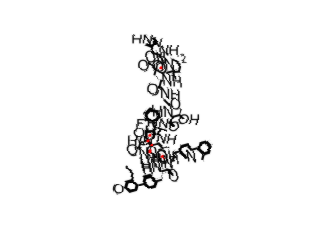 CCc1cc(OC)ccc1-c1ccc(C[C@H](NC(=O)[C@H](CC(=O)O)NC(=O)[C@H](CO)NC(=O)[C@@H](NC(=O)C(C)(Cc2ccccc2F)NC(=O)[C@@H](NC(=O)CNC(=O)[C@H](CCC(=O)O)NC(=O)C2(C)CCCN2C(=O)[C@@H](N)Cc2c[nH]cn2)[C@@H](C)O)[C@@H](C)O)C(=O)NCCc2ccc(-c3ccccc3C)nc2)cc1